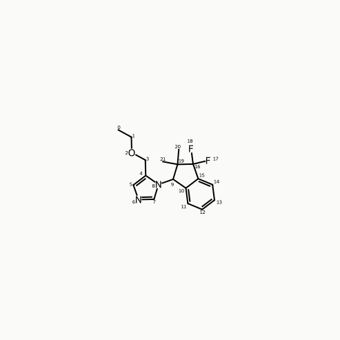 CCOCc1cncn1C1c2ccccc2C(F)(F)C1(C)C